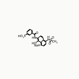 CS(=O)(=O)Nc1cccc2c(O)c(NC(=O)c3cccc(S(=O)(=O)O)c3)ccc12.[NaH]